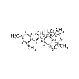 CC(=Cc1ccc(C)cc1C)c1ccc2c(c1)C(C)(C)CCC2(C)C